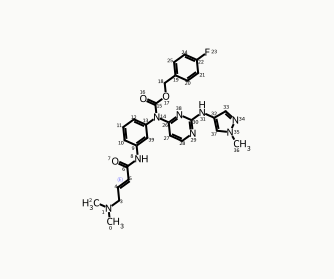 CN(C)C/C=C/C(=O)Nc1cccc(N(C(=O)OCc2ccc(F)cc2)c2ccnc(Nc3cnn(C)c3)n2)c1